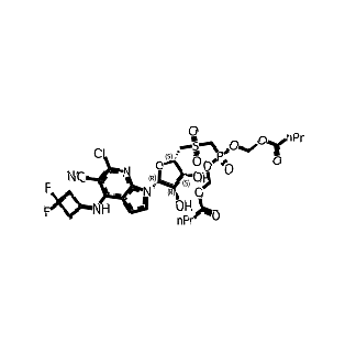 CCCC(=O)OCOP(=O)(CS(=O)(=O)C[C@H]1O[C@@H](n2ccc3c(NC4CC(F)(F)C4)c(C#N)c(Cl)nc32)[C@H](O)[C@@H]1O)OCOC(=O)CCC